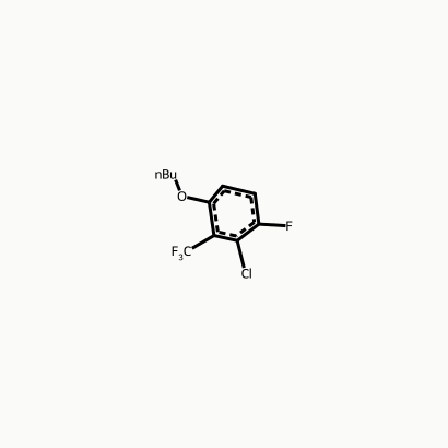 CCCCOc1ccc(F)c(Cl)c1C(F)(F)F